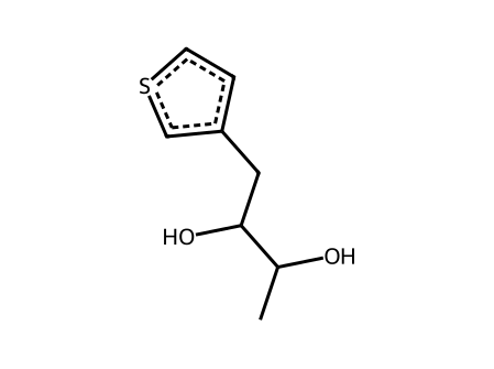 CC(O)C(O)Cc1ccsc1